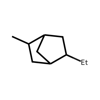 CCC1CC2CC1CC2C